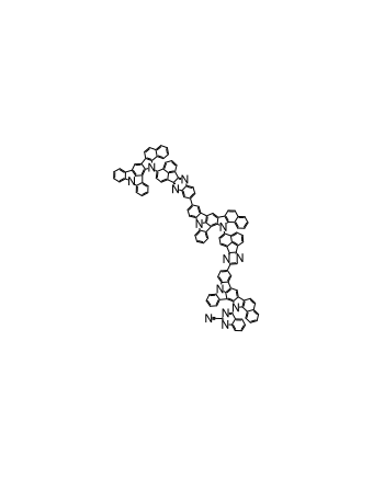 N#Cc1nc(-n2c3c4ccccc4ccc3c3cc4c5cc(-c6cnc7c(n6)-c6ccc(-n8c9c%10ccccc%10ccc9c9cc%10c%11cc(-c%12ccc%13nc%14c(nc%13c%12)-c%12ccc(-n%13c%15c%16ccccc%16ccc%15c%15cc%16c%17ccccc%17n%17c%18ccccc%18c(c%15%13)c%16%17)c%13cccc-%14c%12%13)ccc%11n%11c%12ccccc%12c(c98)c%10%11)c8cccc-7c68)ccc5n5c6ccccc6c(c32)c45)c2ccccc2n1